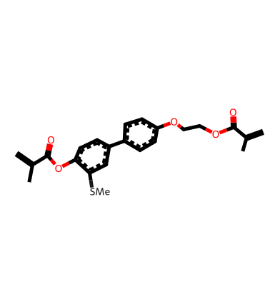 C=C(C)C(=O)OCCOc1ccc(-c2ccc(OC(=O)C(=C)C)c(SC)c2)cc1